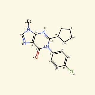 CCn1cnc2c(=O)n(-c3ccc(Cl)cc3)c(C3CCCC3)nc21